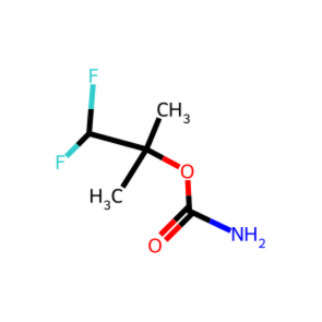 CC(C)(OC(N)=O)C(F)F